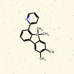 Cc1cc2c(cc1C#N)[Si](C)(C)c1c(-c3ccccn3)cccc1-2